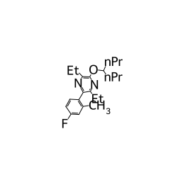 CCCC(CCC)Oc1nc(CC)c(-c2ccc(F)cc2C)nc1CC